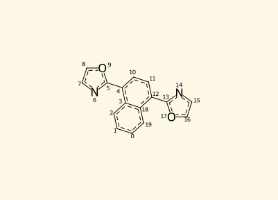 c1ccc2c(-c3ncco3)ccc(-c3ncco3)c2c1